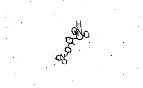 Cc1c(-c2ccc(Cn3ccccc3=O)cc2)cccc1C1CCC(=O)NC1=O